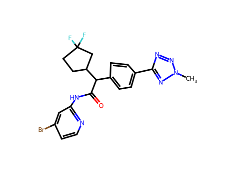 Cn1nnc(-c2ccc(C(C(=O)Nc3cc(Br)ccn3)C3CCC(F)(F)C3)cc2)n1